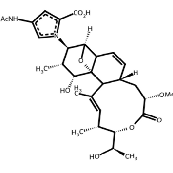 CO[C@H]1C[C@H]2C=CC3C4[C@H](O)[C@H](C)[C@@H](n5cc(NC(C)=O)cc5C(=O)O)[C@@H]3O[C@]42/C(C)=C/[C@@H](C)[C@@H]([C@@H](C)O)OC1=O